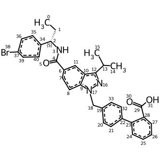 CC[C@H](NC(=O)c1ccc2c(c1)c(C(C)C)nn2Cc1ccc(-c2ccccc2C(=O)O)cc1)c1ccc(Br)cc1